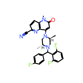 C[C@@H]1CN(c2cc(=O)n(C)c3ccc(C#N)nc23)[C@@H](C)CN1C(c1ccc(F)cc1)c1c(F)cccc1F